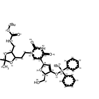 CC(C)(C)OC(=O)NCC1OC(C)(C)OC1CCn1cc([C@H]2C=C(O[Si](c3ccccc3)(c3ccccc3)C(C)(C)C)[C@@H](CO)O2)c(=O)[nH]c1=O